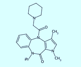 Cc1cn(C)c2c1N(C(=O)CN1CCCCC1)c1ccccc1N(C(C)C)C2=O